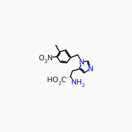 Cc1cc(Cn2cncc2C[C@H](N)C(=O)O)ccc1[N+](=O)[O-]